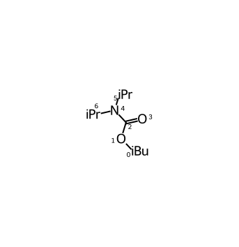 CCC(C)OC(=O)N(C(C)C)C(C)C